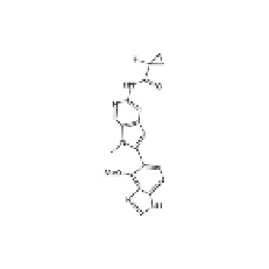 COc1c(-c2cc3cc(NC(=O)C4(F)CC4)ncc3n2C)ccc2[nH]cnc12